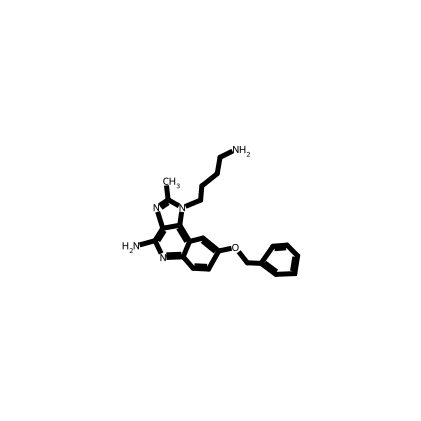 Cc1nc2c(N)nc3ccc(OCc4ccccc4)cc3c2n1CCCCN